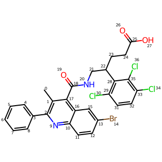 Cc1c(-c2ccccc2)nc2ccc(Br)cc2c1C(=O)NCC(CCC(=O)O)c1c(Cl)ccc(Cl)c1Cl